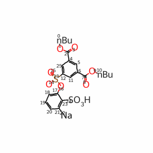 CCCCOC(=O)c1cc(C(=O)OCCCC)cc(S(=O)(=O)Oc2ccc[c]([Na])c2S(=O)(=O)O)c1